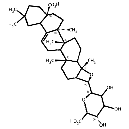 CC1(C)CC[C@]2(C(=O)O)CC[C@]3(C)C(=CCC4[C@@]5(C)CCC6[C@H]([C@@H]7OC(C(=O)O)[C@@H](O)C(O)C7O)O[C@@]6(C)C5CC[C@]43C)C2C1